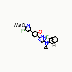 COc1ncc(-c2ccc(-c3ncc(N(C4CC4)[C@@H]4C[C@H]5CCC[C@H](C5)[C@@H]4F)nn3)c(O)c2)cc1F